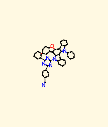 N#Cc1ccc(-c2nc(-c3ccccc3)nc(-n3c4ccccc4c4c5c(c6ccccc6n5-c5ccccc5)c5oc6ccccc6c5c43)n2)cc1